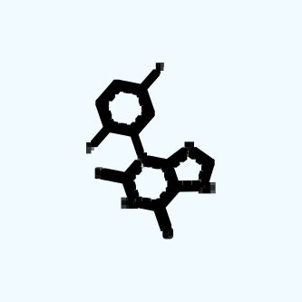 O=c1[nH]c(=S)n(-c2cc(F)ccc2F)c2nc[nH]c12